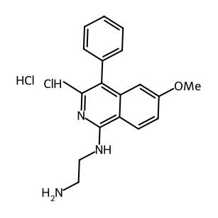 COc1ccc2c(NCCN)nc(C)c(-c3ccccc3)c2c1.Cl.Cl